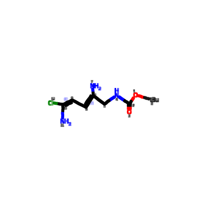 CC(C)(C)OC(=O)NC/C(N)=C/C=C(\N)Cl